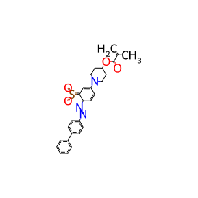 C=C(C)C(=O)OC1CCN(C2=CC(=S(=O)=O)C(N=Nc3ccc(-c4ccccc4)cc3)C=C2)CC1